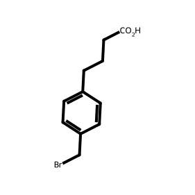 O=C(O)CCCc1ccc(CBr)cc1